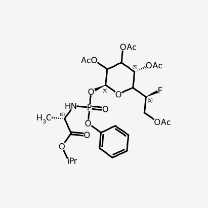 CC(=O)OC[C@H](F)C1O[C@@H](OP(=O)(N[C@@H](C)C(=O)OC(C)C)Oc2ccccc2)C(OC(C)=O)C(OC(C)=O)[C@@H]1OC(C)=O